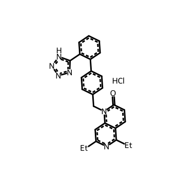 CCc1cc2c(ccc(=O)n2Cc2ccc(-c3ccccc3-c3nnn[nH]3)cc2)c(CC)n1.Cl